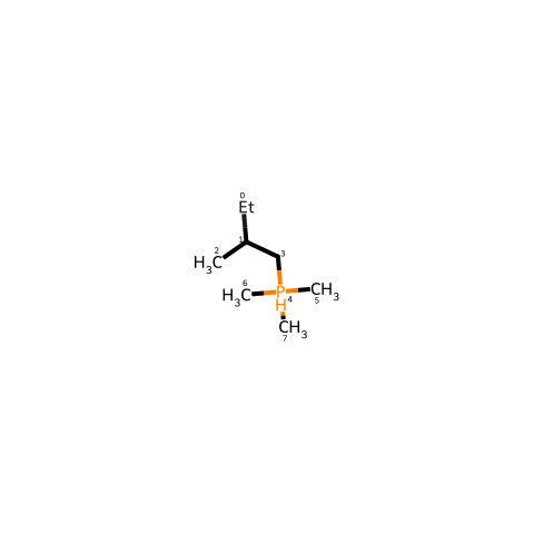 CCC(C)C[PH](C)(C)C